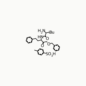 CCC(C)C(N)C(=O)NC(CCc1ccccc1)C(=O)COCc1ccccc1.Cc1ccc(S(=O)(=O)O)cc1